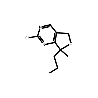 CCCC1(C)OCc2cnc(Cl)nc21